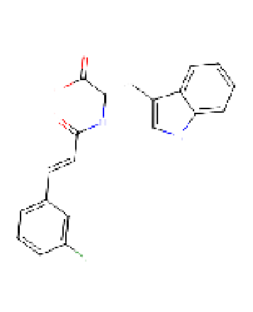 O=C(C=Cc1cccc(Cl)c1)N[C@@H](Cc1c[nH]c2ccccc12)C(=O)O